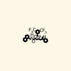 CN(C(=O)c1cc(C(F)(F)F)cc(C(F)(F)F)c1)C(CCC(=O)NCc1cccc2ccccc12)Cc1cn(C)c2ccccc12